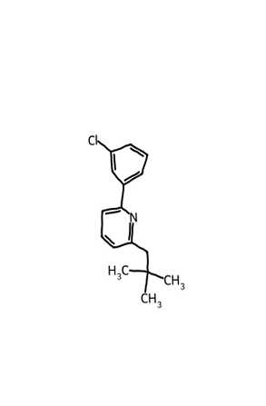 CC(C)(C)Cc1cccc(-c2cccc(Cl)c2)n1